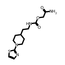 NC(=O)COC(=O)NCCC1CCN(c2nccs2)CC1